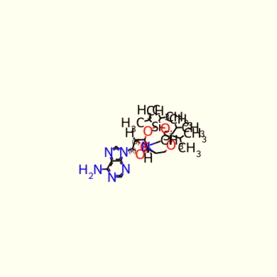 CC(C)[Si]1(C(C)C)OCC2[C@@H]3O[C@@H](n4cnc5c(N)ncnc54)[C@@H](ON2C)C3O[Si](C(C)C)(C(C)C)O1